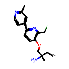 Cc1cc(-c2ccc(OCC(C)(N)CC(C)C)c(CF)n2)ccn1